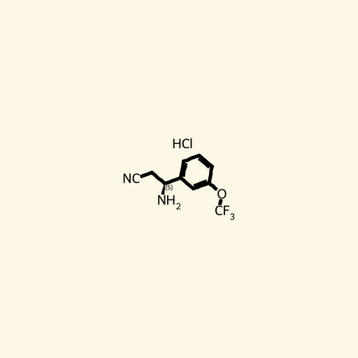 Cl.N#CC[C@H](N)c1cccc(OC(F)(F)F)c1